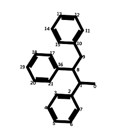 CC(c1ccccc1)C([CH]c1ccccc1)c1ccccc1